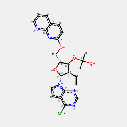 C=C[C@@H]1[C@H](OC(C)(C)O)[C@@H](COc2ccc3cccnc3n2)O[C@H]1n1ccc2c(Cl)ncnc21